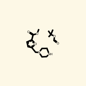 CC(C)(C)OC=O.COC(=O)c1ccc(CN2CCNCC2)o1